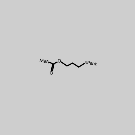 CCCCCCCCOC(=O)NC